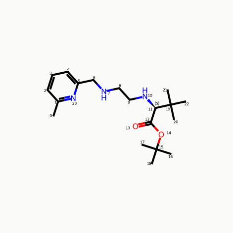 Cc1cccc(CNCCN[C@H](C(=O)OC(C)(C)C)C(C)(C)C)n1